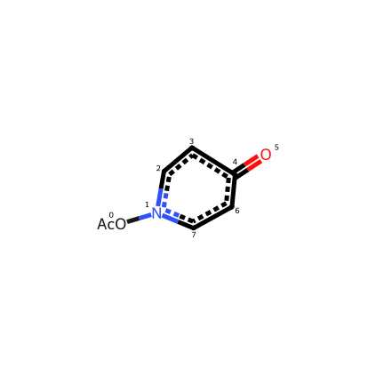 CC(=O)On1ccc(=O)cc1